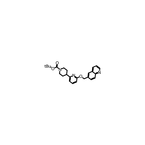 CC(C)(C)OC(=O)N1CCC(c2cccc(OCc3ccc4ncccc4c3)n2)CC1